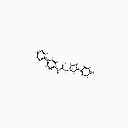 O=C(CN1C=NC(C2=CCNC=C2)C1)Nc1ccc(-c2cnccn2)cn1